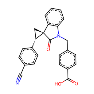 N#Cc1ccc([C@@H]2C[C@@]23C(=O)N(Cc2ccc(C(=O)O)cc2)c2ccccc23)cc1